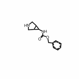 O=C(NC1C2CNCC21)OCc1ccccc1